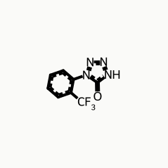 O=c1[nH]nnn1-c1ccccc1C(F)(F)F